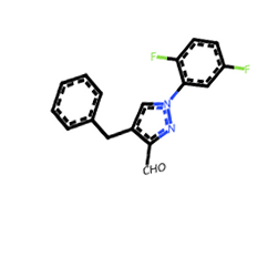 O=Cc1nn(-c2cc(F)ccc2F)cc1Cc1ccccc1